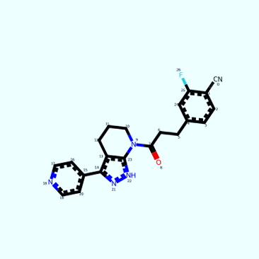 N#Cc1ccc(CCC(=O)N2CCCc3c(-c4ccncc4)n[nH]c32)cc1F